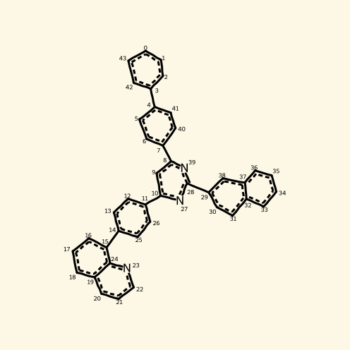 c1ccc(-c2ccc(-c3cc(-c4ccc(-c5cccc6cccnc56)cc4)nc(-c4ccc5ccccc5c4)n3)cc2)cc1